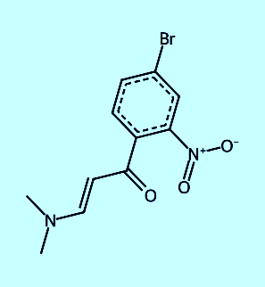 CN(C)C=CC(=O)c1ccc(Br)cc1[N+](=O)[O-]